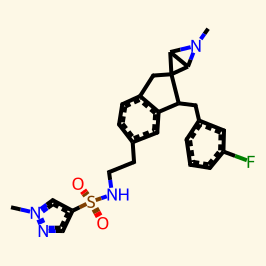 CN1C2C1C21Cc2ccc(CCNS(=O)(=O)c3cnn(C)c3)cc2C1Cc1cccc(F)c1